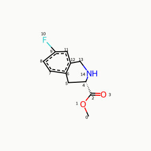 COC(=O)[C@@H]1Cc2ccc(F)cc2CN1